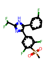 CS(=O)(=O)c1c(F)cc(-c2nc(C(F)F)[nH]c2-c2cccc(F)c2)cc1F